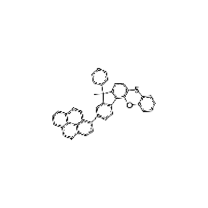 CC1(c2ccccc2)c2cc(-c3ccc4ccc5cccc6ccc3c4c56)ccc2-c2c1ccc1c2Oc2ccccc2S1